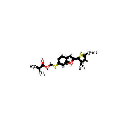 C=C(C)C(=O)OCSc1ccc2cc(-c3sc(CCCCC)cc3C(F)(F)F)oc2c1